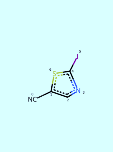 N#Cc1cnc(I)s1